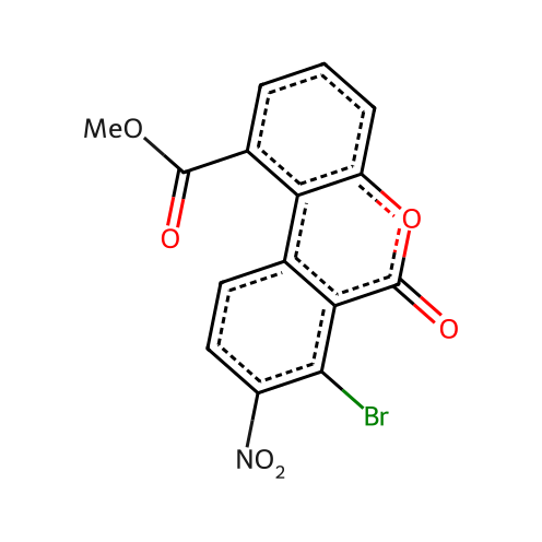 COC(=O)c1cccc2oc(=O)c3c(Br)c([N+](=O)[O-])ccc3c12